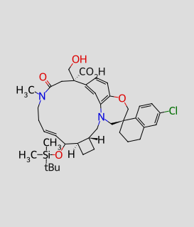 CN1CC/C=C/C(O[Si](C)(C)C(C)(C)C)[C@@H]2CC[C@H]2CN2C[C@@]3(CCCc4cc(Cl)ccc43)COc3ccc(cc32)[C@@](CO)(C(=O)O)CC1=O